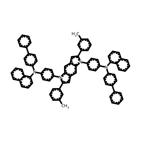 Cc1cccc(-c2cc3cc4c(cc(-c5cccc(C)c5)n4-c4ccc(N(c5ccc(-c6ccccc6)cc5)c5cccc6ccccc56)cc4)cc3n2-c2ccc(N(c3ccc(-c4ccccc4)cc3)c3cccc4ccccc34)cc2)c1